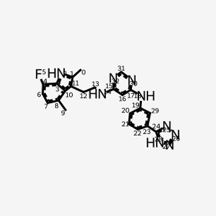 Cc1[nH]c2c(F)ccc(C)c2c1CCNc1cc(Nc2cccc(-c3nnn[nH]3)c2)ncn1